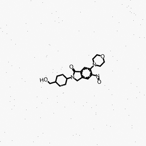 O=Nc1cc2c(cc1N1CCOCC1)C(=O)N(C1CCC(CO)CC1)C2